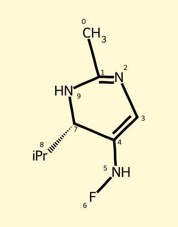 CC1=NC=C(NF)[C@H](C(C)C)N1